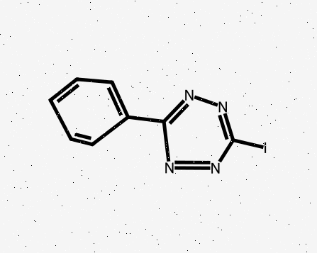 Ic1nnc(-c2ccccc2)nn1